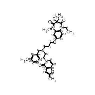 CCN1C(=O)C(C)(C)C(=O)N(C)c2cc(OCCCN(CCn3ccc4oc(C)cc4c3=O)Cc3cncc(C)c3)ccc21